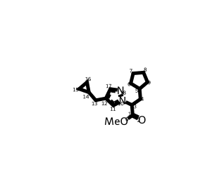 COC(=O)C(CC1CCCC1)n1cc(CC2CC2)cn1